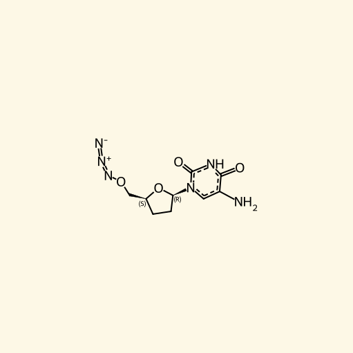 [N-]=[N+]=NOC[C@@H]1CC[C@H](n2cc(N)c(=O)[nH]c2=O)O1